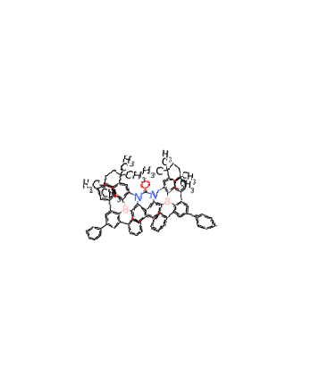 CC1(C)CCC(C)(C)c2cc3c(cc21)B(c1c(-c2ccccc2)cc(-c2ccccc2)cc1-c1ccccc1)c1ccc2ccc4c5c2c1N3C(=O)N5c1cc2c(cc1B4c1c(-c3ccccc3)cc(-c3ccccc3)cc1-c1ccccc1)C(C)(C)CCC2(C)C